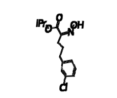 CC(C)OC(=O)C(CCCc1cccc(Cl)c1)=NO